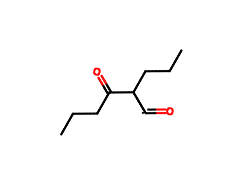 CCCC(=O)C([C]=O)CCC